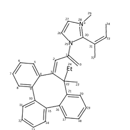 C=C(/C=C1/c2ccccc2-c2ccccc2-c2ccccc2C1(C)CC)n1cc[n+](C)c1/C(C)=C\C